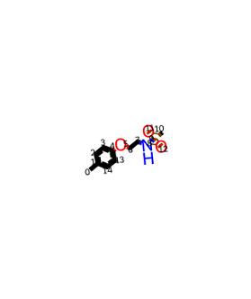 Cc1ccc(OCCNS(C)(=O)=O)cc1